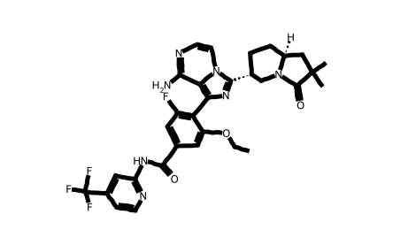 CCOc1cc(C(=O)Nc2cc(C(F)(F)F)ccn2)cc(F)c1-c1nc([C@@H]2CC[C@H]3CC(C)(C)C(=O)N3C2)n2ccnc(N)c12